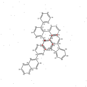 c1ccc(-c2ccccc2-c2c(-c3ccccc3)cccc2N(c2ccc(-c3ccc4ccccc4c3)cc2)c2cccc3c2sc2ccccc23)cc1